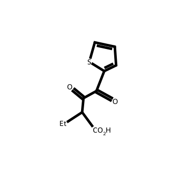 CCC(C(=O)O)C(=O)C(=O)c1cccs1